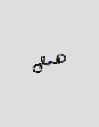 O=C(/C=C/CN1CCCCC1)N1CCCCC1